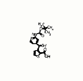 CC(C)(C)OC(=O)Nc1cc(C(S)c2ccsc2C(=O)O)ccn1